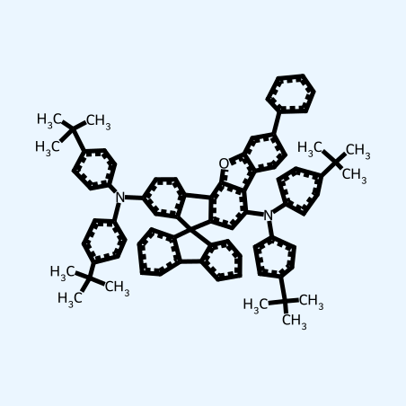 CC(C)(C)c1ccc(N(c2ccc(C(C)(C)C)cc2)c2ccc3c(c2)C2(c4ccccc4-c4ccccc42)c2cc(N(c4ccc(C(C)(C)C)cc4)c4ccc(C(C)(C)C)cc4)c4c(oc5cc(-c6ccccc6)ccc54)c2-3)cc1